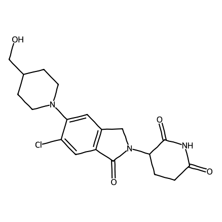 O=C1CCC(N2Cc3cc(N4CCC(CO)CC4)c(Cl)cc3C2=O)C(=O)N1